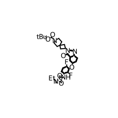 CCN(C)S(=O)(=O)Nc1ccc(F)c(Oc2ccc3ncn(C4CC5(CCN(C(=O)OC(C)(C)C)CC5)C4)c(=O)c3c2)c1F